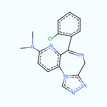 CN(C)c1ccc2c(n1)C(c1ccccc1Cl)=NCc1nncn1-2